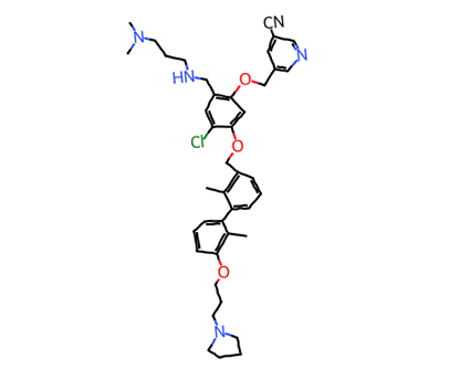 Cc1c(COc2cc(OCc3cncc(C#N)c3)c(CNCCCN(C)C)cc2Cl)cccc1-c1cccc(OCCCN2CCCC2)c1C